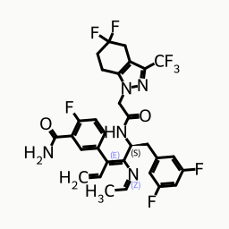 C=C/C(=C(\N=C/C)[C@H](Cc1cc(F)cc(F)c1)NC(=O)Cn1nc(C(F)(F)F)c2c1CCC(F)(F)C2)c1ccc(F)c(C(N)=O)c1